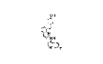 OC1CCC(Oc2cccc3cnc(Nc4ccnc5cc(F)ccc45)nc23)CC1